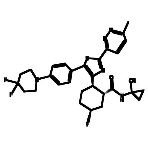 Cc1ccc(-c2nc([C@@H]3CC[C@H](F)C[C@H]3C(=O)NC3(C#N)CC3)c(-c3ccc(N4CCC(F)(F)CC4)cc3)s2)nn1